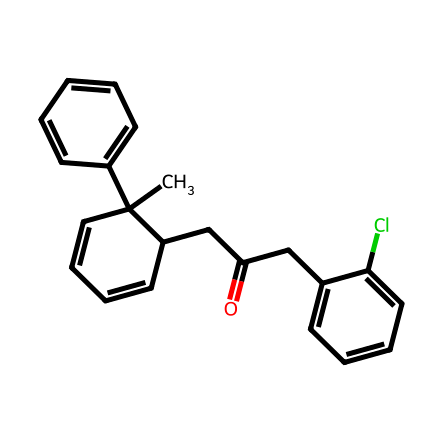 CC1(c2ccccc2)C=CC=CC1CC(=O)Cc1ccccc1Cl